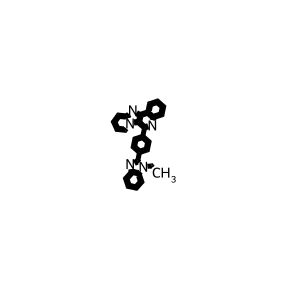 CCn1c(-c2ccc(-c3nc4ccccc4c4nc5ccccn5c34)cc2)nc2ccccc21